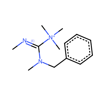 C/N=C(\N(C)Cc1ccccc1)[N+](C)(C)C